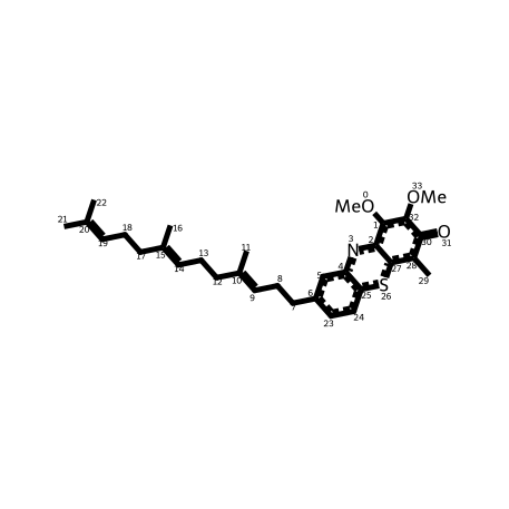 COc1c2nc3cc(CC/C=C(\C)CC/C=C(\C)CCC=C(C)C)ccc3sc-2c(C)c(=O)c1OC